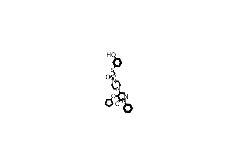 O=c1c(OC2CCCC2)c(N2CCN([S+]([O-])CSc3cccc(O)c3)CC2)cnn1-c1ccccc1